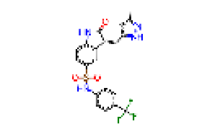 Cc1cc(C=C2C(=O)Nc3ccc(S(=O)(=O)Nc4ccc(C(F)(F)F)cc4)cc32)[nH]n1